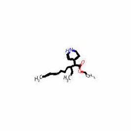 CCCCCCCC(CC)C(C(=O)OCC)C1CCNCC1